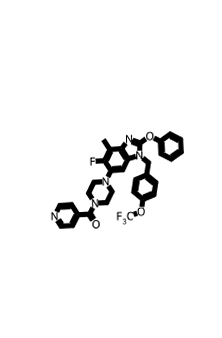 Cc1c(F)c(N2CCN(C(=O)c3ccncc3)CC2)cc2c1nc(Oc1ccccc1)n2Cc1ccc(OC(F)(F)F)cc1